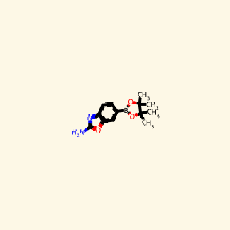 CC1(C)OB(c2ccc3nc(N)oc3c2)OC1(C)C